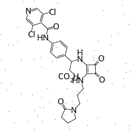 O=C(O)CC(Nc1c(NCCCN2CCCC2=O)c(=O)c1=O)c1ccc(NC(=O)c2c(Cl)cncc2Cl)cc1